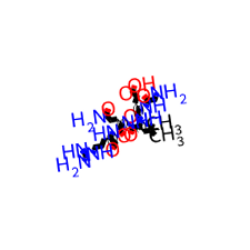 CC(C)C[C@H](NC(=O)[C@H](CCC(=O)O)NC(=O)CN)C(=O)N[C@@H](CCC(N)=O)C(=O)N[C@@H]([C]=O)CCCNC(=N)N